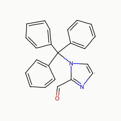 O=Cc1n[c]cn1C(c1ccccc1)(c1ccccc1)c1ccccc1